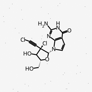 Nc1nc2c(ccn2[C@@H]2O[C@H](CO)C(O)[C@]2(Cl)C#CCl)c(=O)[nH]1